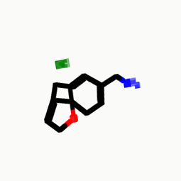 Cl.NCC1=CCC23OCC=C2CC3=C1